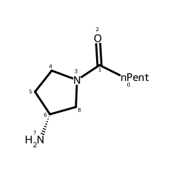 CCCCCC(=O)N1CC[C@@H](N)C1